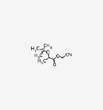 CC(O[Si](C)(C)C)C(=O)OCC#N